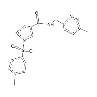 Cc1ccc(S(=O)(=O)n2ccc(C(=O)NCc3ccc(C)nn3)c2)cc1